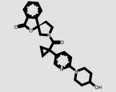 O=C1O[C@]2(CCN(C(=O)C3(c4ccc(N5CCC(O)CC5)nc4)CC3)C2)c2ccccc21